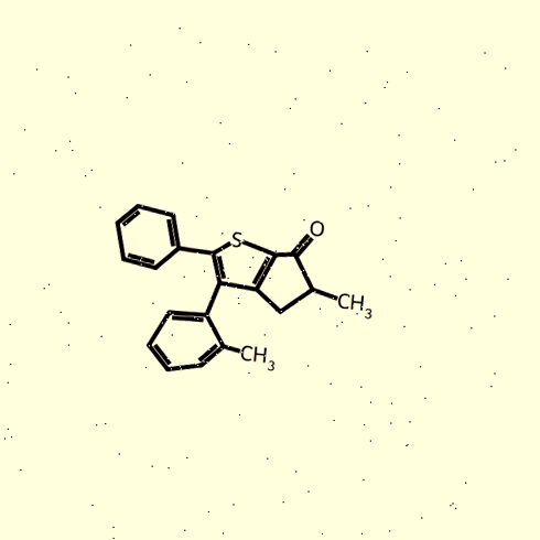 Cc1ccccc1-c1c(-c2ccccc2)sc2c1CC(C)C2=O